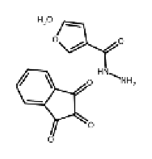 NNC(=O)c1ccoc1.O.O=c1c(=O)c2ccccc2c1=O